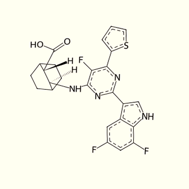 O=C(O)[C@H]1C2CCC(CC2)[C@@H]1Nc1nc(-c2c[nH]c3c(F)cc(F)cc23)nc(-c2cccs2)c1F